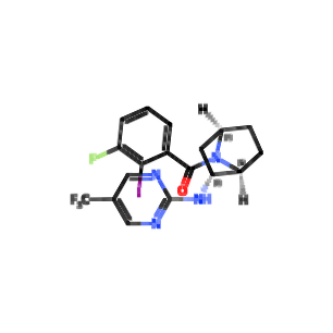 O=C(c1cccc(F)c1I)N1[C@@H]2CC[C@H]1[C@H](Nc1ncc(C(F)(F)F)cn1)C2